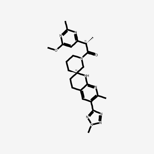 COc1cc([C@H](C)C(=O)N2CCC[C@@]3(CCc4cc(-c5nnn(C)n5)c(C)nc4N3)C2)nc(C)n1